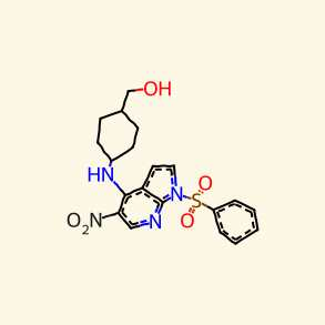 O=[N+]([O-])c1cnc2c(ccn2S(=O)(=O)c2ccccc2)c1NC1CCC(CO)CC1